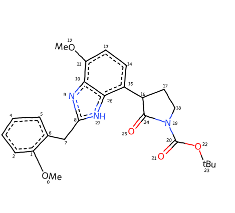 COc1ccccc1Cc1nc2c(OC)ccc(C3CCN(C(=O)OC(C)(C)C)C3=O)c2[nH]1